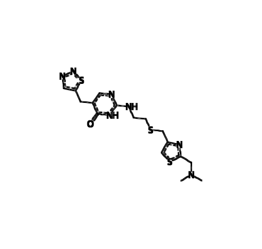 CN(C)Cc1nc(CSCCNc2ncc(Cc3cnns3)c(=O)[nH]2)cs1